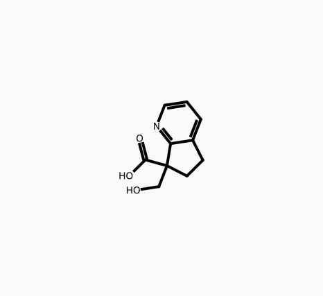 O=C(O)C1(CO)CCc2cccnc21